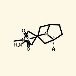 CN1CC(N2C3CC[C@H]2CC(S(N)(=O)=O)C3)C1